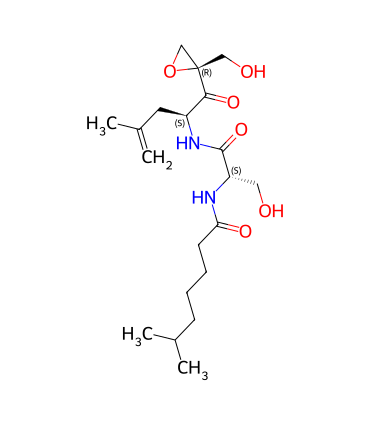 C=C(C)C[C@H](NC(=O)[C@H](CO)NC(=O)CCCCC(C)C)C(=O)[C@@]1(CO)CO1